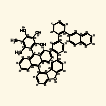 Bc1c(B)c(-c2c3ccccc3c(-c3cccc4oc5ccc(-c6ccc(C7=C(c8ccc9ccccc9c8)C=CCC7)cc6)cc5c34)c3ccccc23)c(O)c(O)c1O